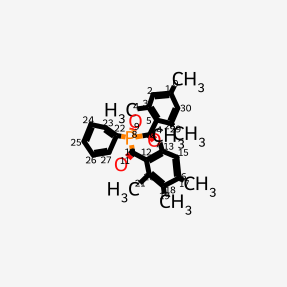 Cc1cc(C)c(C(=O)P(=O)(C(=O)c2c(C)cc(C)c(C)c2C)c2ccccc2)c(C)c1